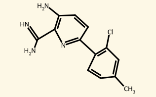 Cc1ccc(-c2ccc(N)c(C(=N)N)n2)c(Cl)c1